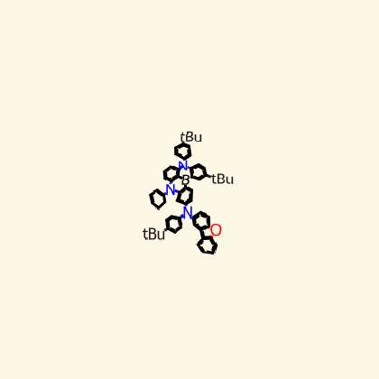 CC(C)(C)c1ccc(N(c2ccc3c(c2)N(C2=CC=CCC2)c2cccc4c2B3c2cc(C(C)(C)C)ccc2N4c2ccc(C(C)(C)C)cc2)c2ccc3oc4ccccc4c3c2)cc1